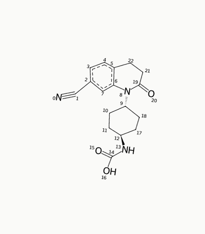 N#Cc1ccc2c(c1)N([C@H]1CC[C@H](NC(=O)O)CC1)C(=O)CC2